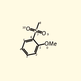 COc1ccccc1S(C)(=O)=O